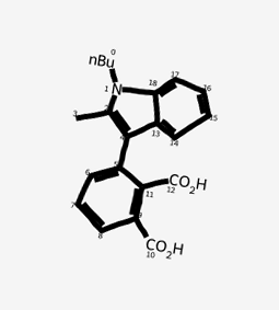 CCCCn1c(C)c(-c2cccc(C(=O)O)c2C(=O)O)c2ccccc21